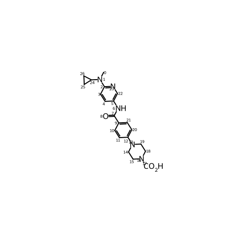 CN(c1ccc(NC(=O)c2ccc(N3CCN(C(=O)O)CC3)cc2)cn1)C1CC1